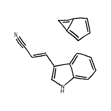 N#CC=Cc1c[nH]c2ccccc12.c1cc2cc-2c1